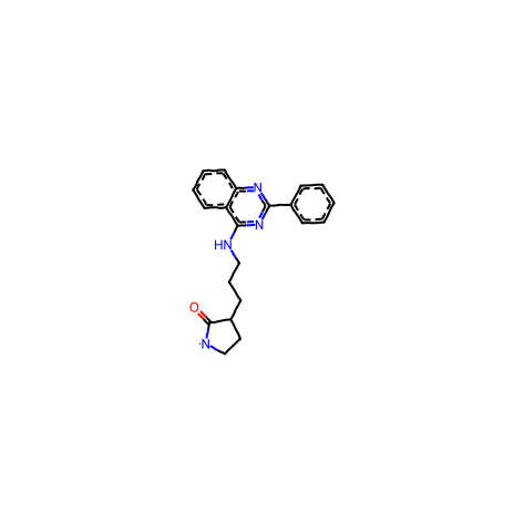 O=C1[N]CCC1CCCNc1nc(-c2ccccc2)nc2ccccc12